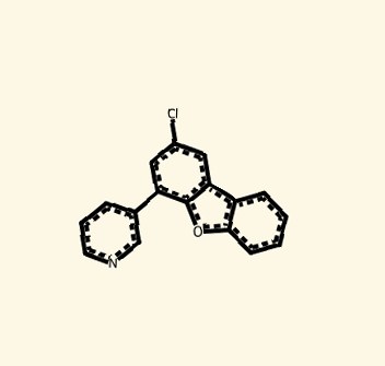 Clc1cc(-c2cccnc2)c2oc3ccccc3c2c1